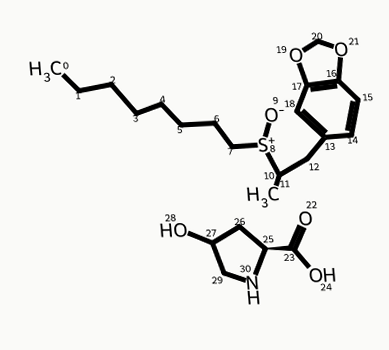 CCCCCCCC[S+]([O-])C(C)Cc1ccc2c(c1)OCO2.O=C(O)[C@@H]1CC(O)CN1